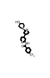 O=C(Nc1cc(-c2ccnc(N3CCC(O)CC3)c2)ccn1)c1ccc(C(F)(F)F)cc1